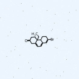 CCC12CCC(=O)CC1=CC=C1C=C(Br)CCC12